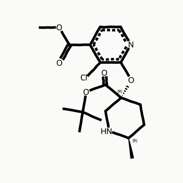 COC(=O)c1ccnc(O[C@]2(C(=O)OC(C)(C)C)CC[C@@H](C)NC2)c1Cl